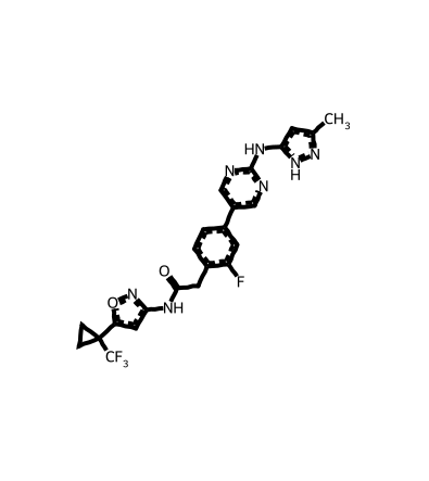 Cc1cc(Nc2ncc(-c3ccc(CC(=O)Nc4cc(C5(C(F)(F)F)CC5)on4)c(F)c3)cn2)[nH]n1